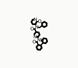 O=C(Nc1ccc(C(=O)N2Cc3ccccc3Oc3ncccc32)cn1)c1ccccc1-c1ccccc1